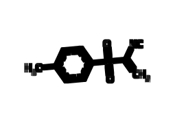 [C-]#[N+]C(=C)S(=O)(=O)c1ccc(C)cc1